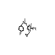 Cn1ccn(CC2CC2)[c]1=[Pt].Fc1ccc(CN(I)I)cc1